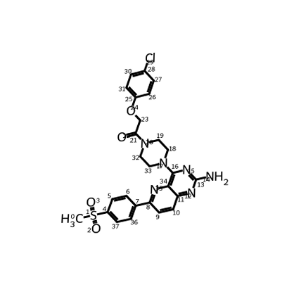 CS(=O)(=O)c1ccc(-c2ccc3nc(N)nc(N4CCN(C(=O)COc5ccc(Cl)cc5)CC4)c3n2)cc1